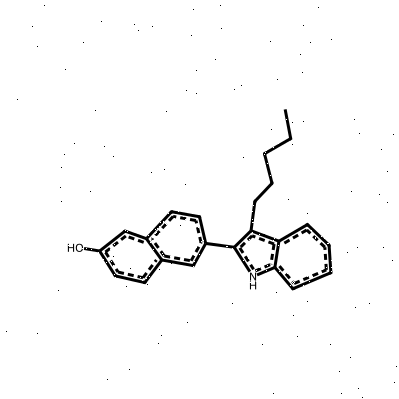 CCCCCc1c(-c2ccc3cc(O)ccc3c2)[nH]c2ccccc12